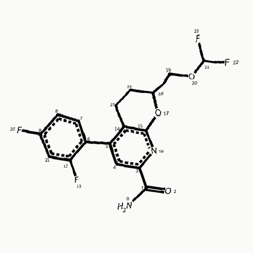 NC(=O)c1cc(-c2ccc(F)cc2F)c2c(n1)OC(COC(F)F)CC2